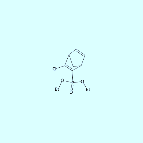 CCOP(=O)(OCC)C1=C(Cl)C2C=CC1C2